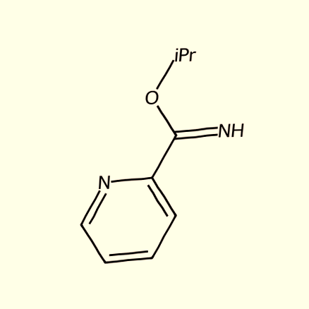 CC(C)OC(=N)c1ccccn1